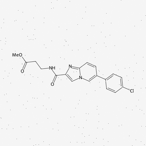 COC(=O)CCNC(=O)c1cn2cc(-c3ccc(Cl)cc3)ccc2n1